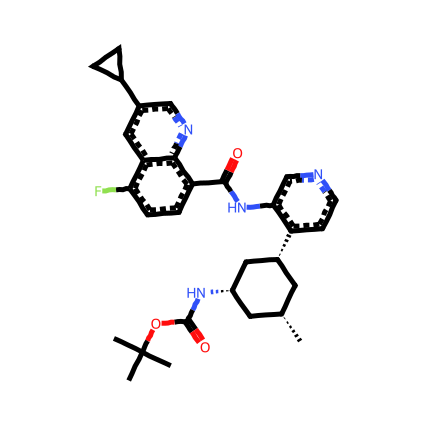 C[C@@H]1C[C@H](NC(=O)OC(C)(C)C)C[C@H](c2ccncc2NC(=O)c2ccc(F)c3cc(C4CC4)cnc23)C1